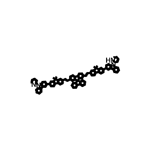 CC1(C)c2cc(/C=C/c3ccc4c(c3)C3(c5ccccc5-c5ccccc53)c3cc(/C=C/c5ccc6c(c5)C(C)(C)c5cc(-c7ccc8c(c7)c7ccccc7n8C7C=CC=CN7)ccc5-6)ccc3-4)ccc2-c2ccc(-c3ccc4c(c3)c3ccccc3n4-c3ccccn3)cc21